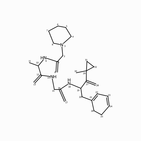 C=C(CN1CCCCC1)NC(C)C(=C)NCC(=C)NC(CC1=CC=CCC1)C(=C)C1(C)CC1